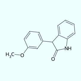 COc1cccc(C2C(=O)Nc3ccccc32)c1